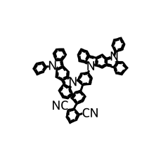 N#Cc1cccc(C#N)c1-c1ccc(-c2ccc(-n3c4ccccc4c4cc5c(cc43)c3ccccc3n5-c3ccccc3)cc2-n2c3ccccc3c3cc4c(cc32)c2ccccc2n4-c2ccccc2)cc1